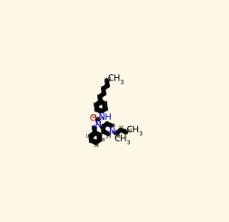 CCCCCCc1ccc(NC(=O)N(Cc2ccccc2)C2CCN(C(C)CCC)CC2)cc1